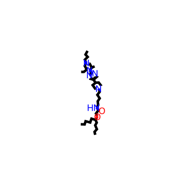 CCCCCC(CCCCC)OCC(=O)NCCCCCN1CCC(c2cnc(N3C(C)CN(CCCC)CC3CC)nc2)CC1